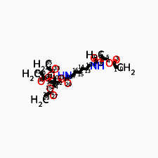 C=CC(=O)OCC(C)OC(=O)NCCCCCCNC(=O)OCC(COC(=O)C=C)(COC(=O)C=C)COC(=O)C=C